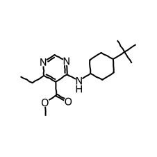 CCc1ncnc(NC2CCC(C(C)(C)C)CC2)c1C(=O)OC